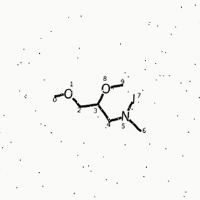 COCC(CN(C)I)OC